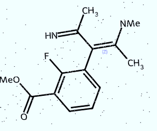 CN/C(C)=C(\C(C)=N)c1cccc(C(=O)OC)c1F